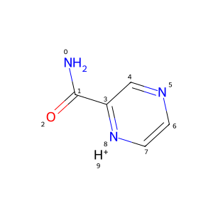 NC(=O)c1cnccn1.[H+]